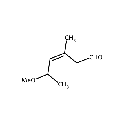 COC(C)C=C(C)CC=O